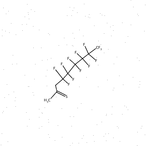 CC(=S)CC(F)(F)C(F)(F)C(F)(F)C(F)(F)C(F)(F)C(F)(F)F